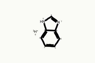 [1H+].c1ccc2[nH]cnc2c1